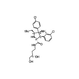 CC(C)(C)C[C@@H]1N[C@@H](C(=O)NCC[C@H](O)CO)[C@H](c2cccc(Cl)c2)[C@@]1(N)c1ccc(Cl)cc1